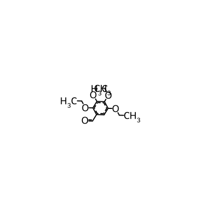 CCOc1cc(C=O)c(OCC)c(OC)c1OC